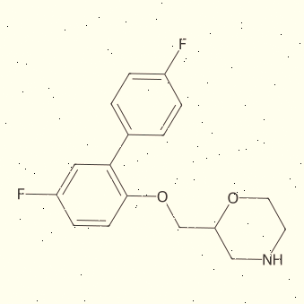 Fc1ccc(-c2cc(F)ccc2OCC2CNCCO2)cc1